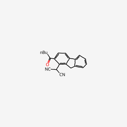 CCCCC(=O)c1ccc2c(c1C(C#N)C#N)Cc1ccccc1-2